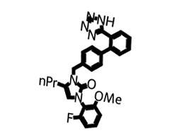 CCCc1cn(-c2c(F)cccc2OC)c(=O)n1Cc1ccc(-c2ccccc2-c2nnn[nH]2)cc1